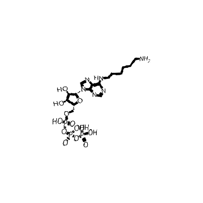 NCCCCCCNc1ncnc2c1ncn2[C@@H]1O[C@H](COP(=O)(O)OP(=O)(O)OP(=O)(O)O)[C@@H](O)[C@H]1O